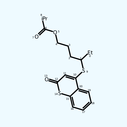 CCC(CCCOC(=O)C(C)C)Sc1cc(=O)sc2ccccc12